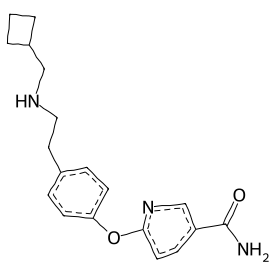 NC(=O)c1ccc(Oc2ccc(CCNCC3CCC3)cc2)nc1